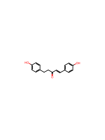 O=C(/C=C/c1ccc(O)cc1)CCc1ccc(O)cc1